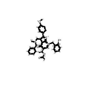 COc1ccc(-c2sc3c(c2CN(C)Cc2ccccc2)c(=O)c(C(C)OC(C)=O)cn3Cc2ccccc2F)cc1